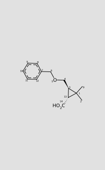 CC1(C)[C@H](COCc2ccccc2)[C@H]1C(=O)O